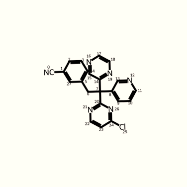 N#Cc1cccc(CC(c2cccnc2)(c2cnccn2)c2nccc(Cl)n2)c1